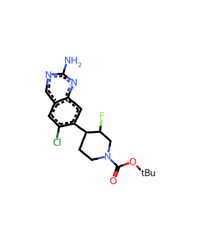 CC(C)(C)OC(=O)N1CCC(c2cc3nc(N)ncc3cc2Cl)C(F)C1